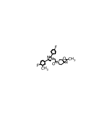 Cc1nc2c(o1)CN(C(=O)Cn1cc(-c3ccc(F)c(C)c3)nc1-c1ccc(F)cc1)CC2